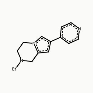 CCN1CCn2cc(-c3ccncc3)cc2C1